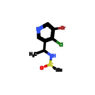 CC(N[S@+]([O-])C(C)(C)C)c1cncc(Br)c1Cl